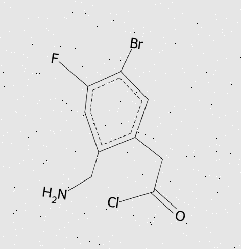 NCc1cc(F)c(Br)cc1CC(=O)Cl